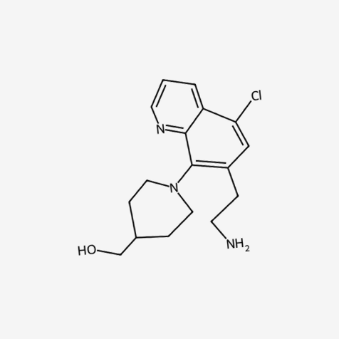 NCCc1cc(Cl)c2cccnc2c1N1CCC(CO)CC1